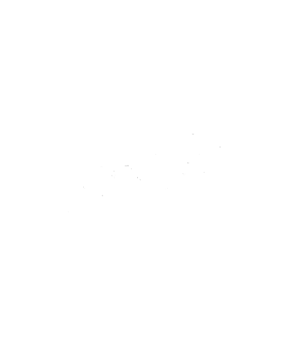 CC(Cc1ccccc1)NC(=O)Nc1ccc(C(F)(F)F)cc1